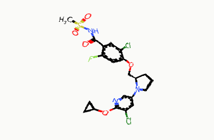 CS(=O)(=O)NC(=O)c1cc(Cl)c(OC[C@H]2CCCN2c2cnc(OC3CC3)c(Cl)c2)cc1F